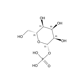 O=P(O)(O)O[C@@H]1O[C@H](CO)[C@@H](O)[C@@H](O)[C@H]1O